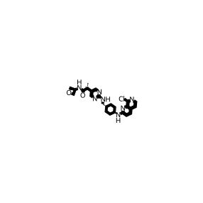 C[C@@H](C(=O)NC1COC1)c1cnc(NC[C@H]2CC[C@H](Nc3ccc4ccnc(Cl)c4n3)CC2)nc1